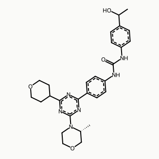 CC(O)c1ccc(NC(=O)Nc2ccc(-c3nc(C4CCOCC4)nc(N4CCOC[C@H]4C)n3)cc2)cc1